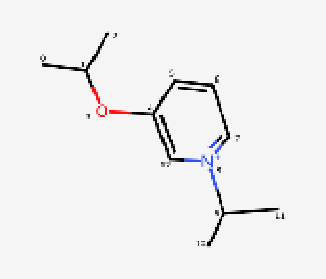 CC(C)Oc1ccc[n+](C(C)C)c1